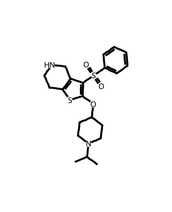 CC(C)N1CCC(Oc2sc3c(c2S(=O)(=O)c2ccccc2)CNCC3)CC1